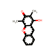 Cc1c2oc3ccccc3cc-2c(O)c(C)c1=O